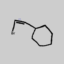 Br/C=C\C1CCCCC1